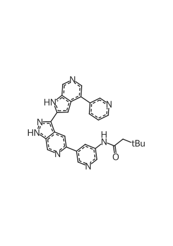 CC(C)(C)CC(=O)Nc1cncc(-c2cc3c(-c4cc5c(-c6cccnc6)cncc5[nH]4)n[nH]c3cn2)c1